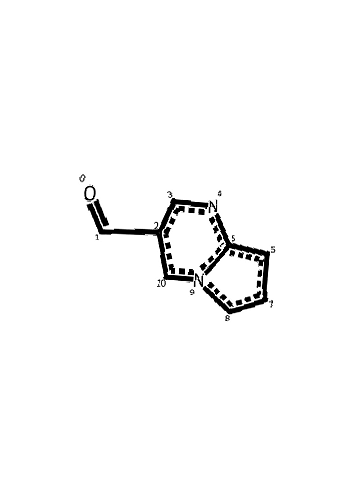 O=Cc1cnc2cccn2c1